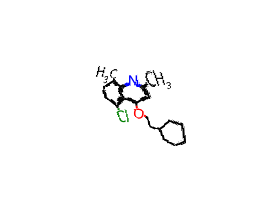 Cc1cc(OCCC2CCCCC2)c2c(Cl)ccc(C)c2n1